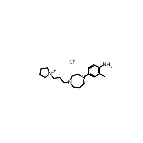 Cc1cc(N2CCCN(CCC[N+]3(C)CCCC3)CC2)ccc1N.[Cl-]